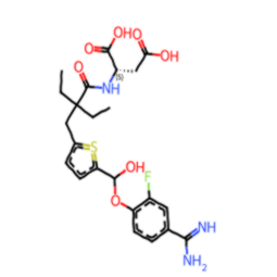 CCC(CC)(Cc1ccc(C(O)Oc2ccc(C(=N)N)cc2F)s1)C(=O)N[C@@H](CC(=O)O)C(=O)O